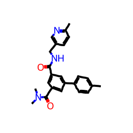 Cc1ccc(-c2cc(C(=O)NCc3ccc(C)nc3)cc(C(=O)N(C)C)c2)cc1